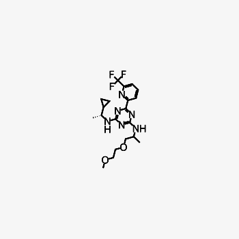 COCCOCC(C)Nc1nc(N[C@H](C)C2CC2)nc(-c2cccc(C(F)(F)F)n2)n1